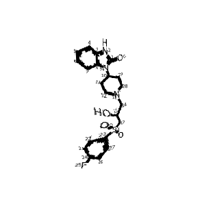 O=c1[nH]c2ccccc2n1C1CCN(CC(O)CS(=O)(=O)c2ccc(F)cc2)CC1